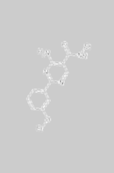 CCNC(=O)c1cnc(-c2cccc(OCC)c2)nc1N